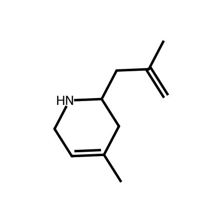 C=C(C)CC1CC(C)=CCN1